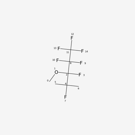 COC(F)(C(C)(C)F)C(F)(F)C(F)(F)F